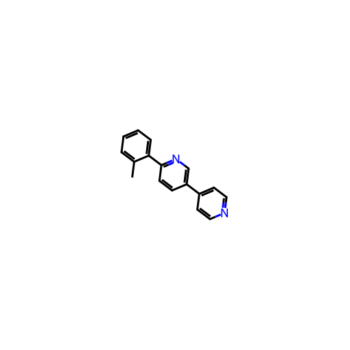 Cc1ccccc1-c1ccc(-c2ccncc2)cn1